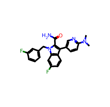 CN(C)c1ccc(-c2c(C(N)=O)n(Cc3cccc(F)c3)c3cc(F)ccc23)cn1